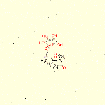 CC1=CC(=O)CC(C)(C)C1(O)C=C/C(C)=C\CO[C@@H]1O[C@H](CO)[C@@H](O)[C@H](O)[C@H]1O